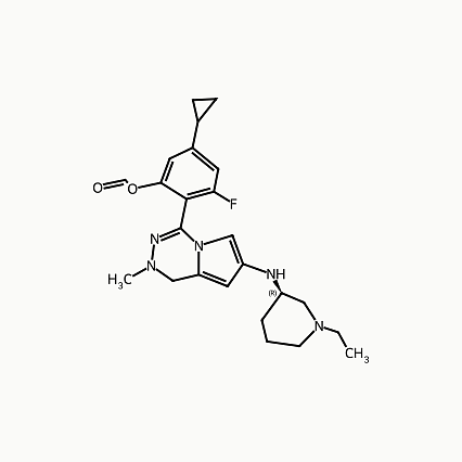 CCN1CCC[C@@H](Nc2cc3n(c2)C(c2c(F)cc(C4CC4)cc2OC=O)=NN(C)C3)C1